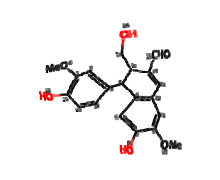 COc1cc(C2c3cc(O)c(OC)cc3C=C(C=O)C2CO)ccc1O